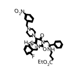 CCOC(=O)CCCN[C@@H](Cn1c(=O)c(N2CCN(Cc3cccc([N+](=O)[O-])c3)CC2)c(C)n(Cc2c(F)cccc2C(F)(F)F)c1=O)c1ccccc1